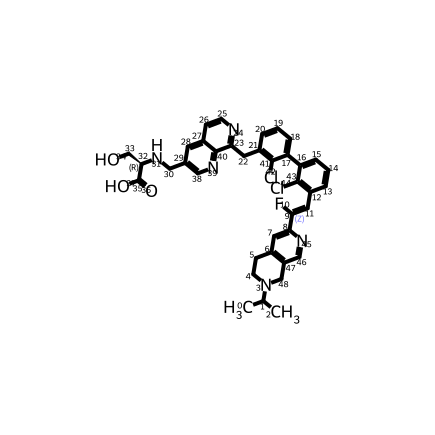 CC(C)N1CCc2cc(/C(F)=C/c3cccc(-c4cccc(Cc5nccc6cc(CN[C@H](CO)C(=O)O)cnc56)c4Cl)c3Cl)ncc2C1